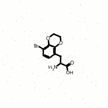 NC(Cc1ccc(Br)c2c1OCCO2)C(=O)O